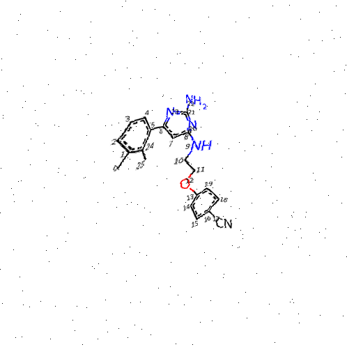 Cc1cccc(-c2cc(NCCOc3ccc(C#N)cc3)nc(N)n2)c1C